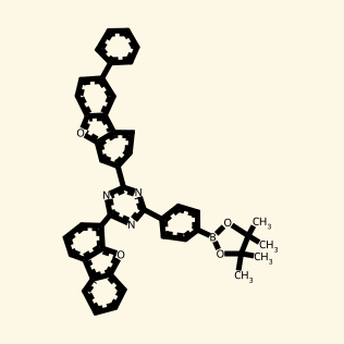 CC1(C)OB(c2ccc(-c3nc(-c4ccc5c(c4)oc4ccc(-c6ccccc6)cc45)nc(-c4cccc5c4oc4ccccc45)n3)cc2)OC1(C)C